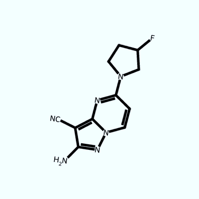 N#Cc1c(N)nn2ccc(N3CCC(F)C3)nc12